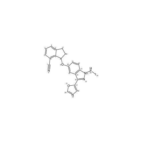 N#Cc1cccc2c1C(Oc1ccc3c(c1)c(-c1cnco1)nn3PI)CC2